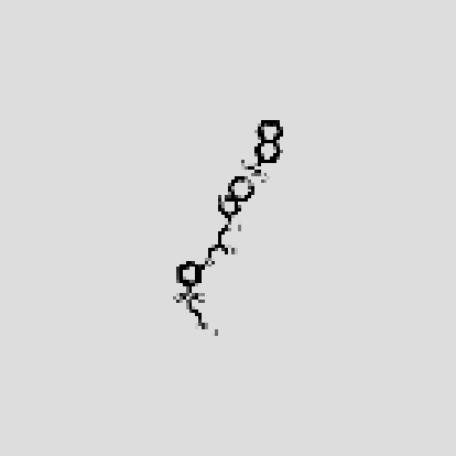 NCCS(=O)(=O)c1cccc(OCC(O)CNC2COC3(CCN(S(=O)(=O)c4ccc5ccccc5c4)CC3)C2)c1